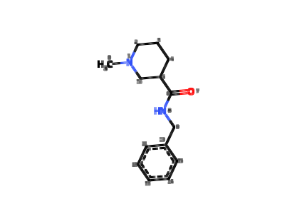 CN1CCCC(C(=O)NCc2ccccc2)C1